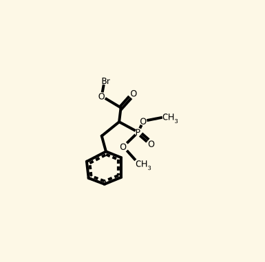 COP(=O)(OC)C(Cc1ccccc1)C(=O)OBr